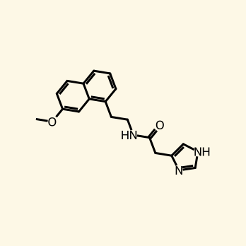 COc1ccc2cccc(CCNC(=O)Cc3c[nH]cn3)c2c1